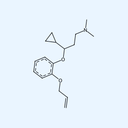 C=CCOc1ccccc1OC(CCN(C)C)C1CC1